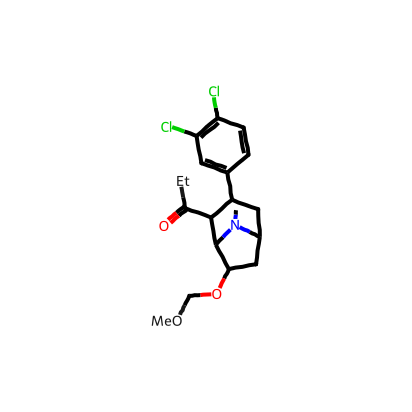 CCC(=O)C1C(c2ccc(Cl)c(Cl)c2)CC2CC(OCOC)C1N2C